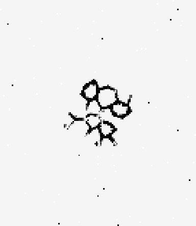 C[C@@H](N1CN([C@H]2c3cccc(F)c3SCc3cccc(F)c32)n2ccc(=O)c(O)c2C1=O)C(F)(F)F